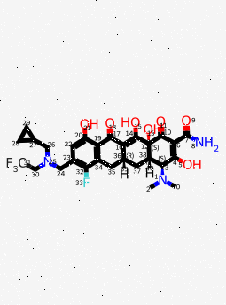 CN(C)[C@@H]1C(O)=C(C(N)=O)C(=O)[C@@]2(O)C(O)=C3C(=O)c4c(O)cc(CN(CC5CC5)CC(F)(F)F)c(F)c4C[C@H]3C[C@@H]12